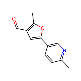 Cc1ccc(-c2cc(C=O)c(C)o2)cn1